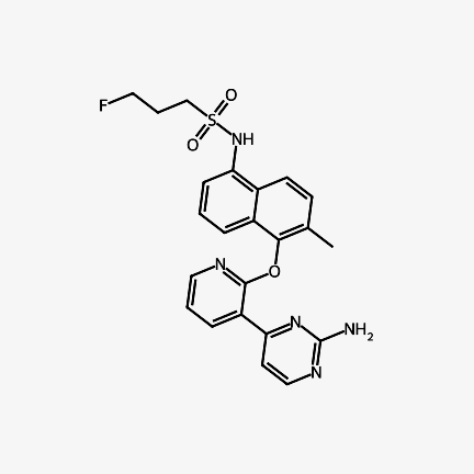 Cc1ccc2c(NS(=O)(=O)CCCF)cccc2c1Oc1ncccc1-c1ccnc(N)n1